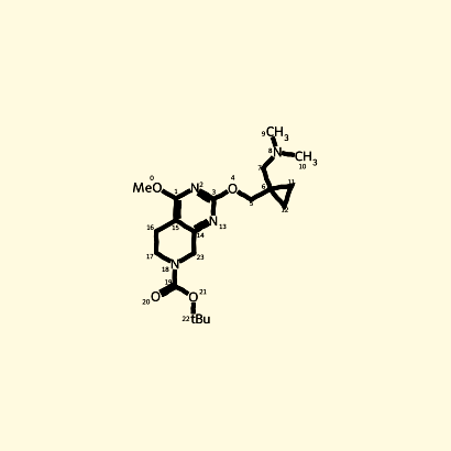 COc1nc(OCC2(CN(C)C)CC2)nc2c1CCN(C(=O)OC(C)(C)C)C2